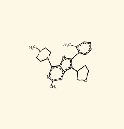 Cc1nc(N2CCN(C)CC2)c2nc(-c3ccccc3C)n(C3CCOC3)c2n1